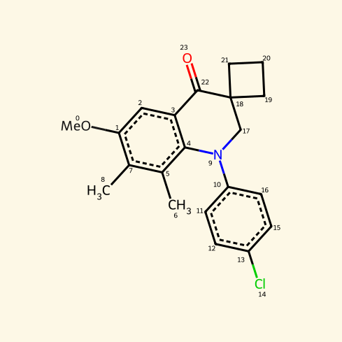 COc1cc2c(c(C)c1C)N(c1ccc(Cl)cc1)CC1(CCC1)C2=O